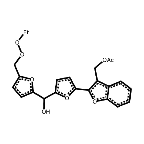 CCOOCc1ccc(C(O)c2ccc(-c3oc4ccccc4c3COC(C)=O)o2)o1